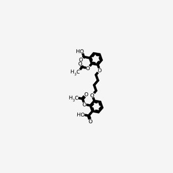 CC(=O)Oc1c(OCCCCOc2cccc(C(=O)O)c2OC(C)=O)cccc1C(=O)O